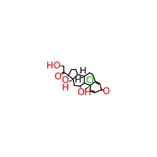 C[C@]12C=CC(=O)C=C1CC[C@H]1[C@@H]3CC[C@](O)(C(=O)CO)[C@@]3(C)C[C@H](O)[C@@]12Cl